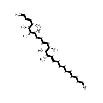 C=CC=C[C@H](C)[C@@H](O)[C@H](C)[C@H](O)CCC=C[C@H](C)[C@@H](O)[C@@H](C)C=CCCCCCCCCCO